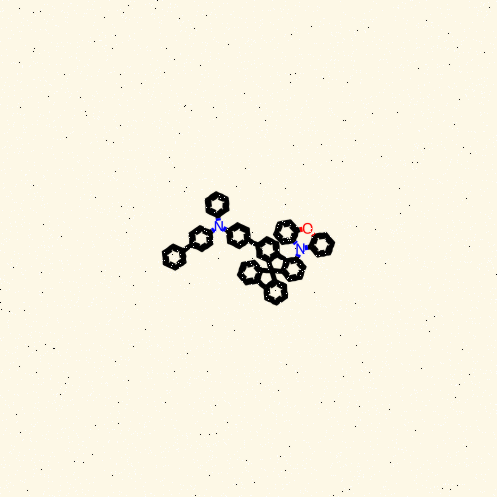 c1ccc(-c2ccc(N(c3ccccc3)c3ccc(-c4ccc5c(c4)C4(c6ccccc6-c6ccccc64)c4cccc(N6c7ccccc7Oc7ccccc76)c4-5)cc3)cc2)cc1